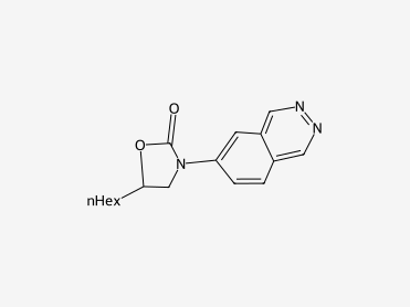 CCCCCCC1CN(c2ccc3cnncc3c2)C(=O)O1